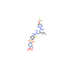 CC(CNc1ncc(OC(F)F)cn1)CNc1nc2ccc(S(=O)(=O)N3CCN4C(=O)OCC4C3)cc2s1